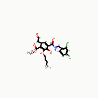 CCCCOC1=C(C(=O)OC)C(CC=O)C=C(C(=O)NCc2ccc(F)cc2F)C1=O